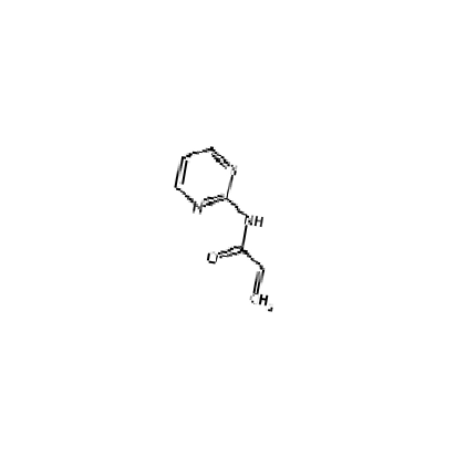 C=CC(=O)Nc1ncccn1